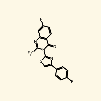 O=c1c2ccc(F)cc2nc(C(F)(F)F)n1-c1nc(-c2ccc(F)cc2)cs1